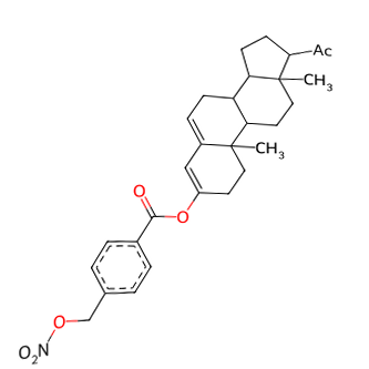 CC(=O)C1CCC2C3CC=C4C=C(OC(=O)c5ccc(CO[N+](=O)[O-])cc5)CCC4(C)C3CCC12C